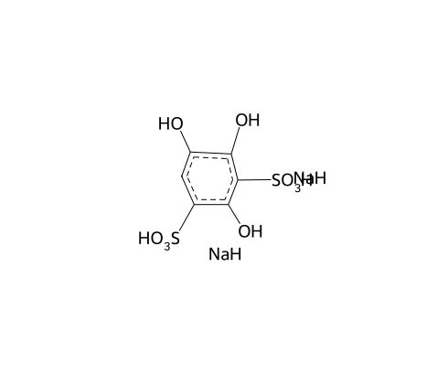 O=S(=O)(O)c1cc(O)c(O)c(S(=O)(=O)O)c1O.[NaH].[NaH]